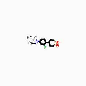 CC(C)CN(C(=O)O)c1ccc(C2=CCS(=O)(=O)CC2)c(F)c1